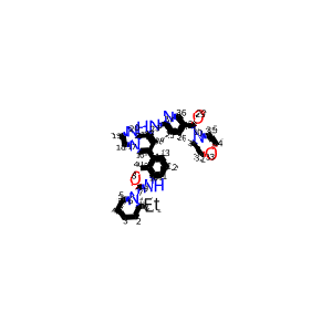 CCC1CCCCN1C(=O)Nc1cccc(C2=CN3CCN=C3C(Nc3ccc(C(=O)N4CCOCC4)cn3)=C2)c1C